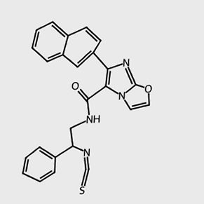 O=C(NCC(N=C=S)c1ccccc1)c1c(-c2ccc3ccccc3c2)nc2occn12